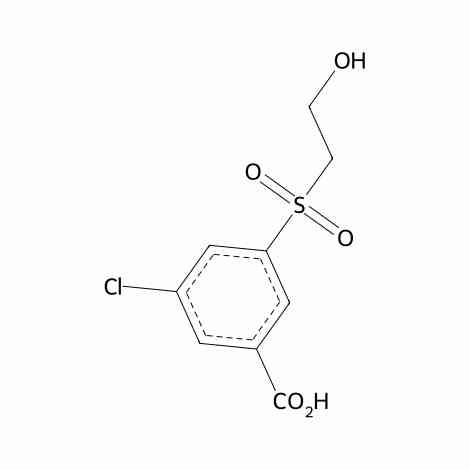 O=C(O)c1cc(Cl)cc(S(=O)(=O)CCO)c1